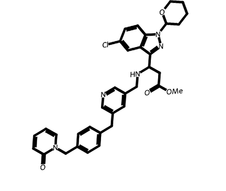 COC(=O)CC(NCc1cncc(Cc2ccc(Cn3ccccc3=O)cc2)c1)c1nn(C2CCCCO2)c2ccc(Cl)cc12